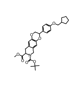 COC(=O)C1Cc2cc3c(cc2CN1C(=O)OC(C)(C)C)OC(c1ccc(OCC2CCCC2)cc1)CO3